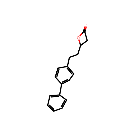 O=C1CC(CCc2ccc(-c3ccccc3)cc2)O1